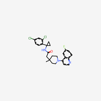 CC1(CC(=O)NC2(c3ccc(Cl)cc3Cl)CC2)CCN(c2ccnc3ccc(F)cc23)CC1